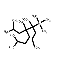 CCCCCCCCCCCCC(C(=O)[O-])(C(CCC(C)O)(CC(C)O)C(=O)O)[N+](C)(C)C